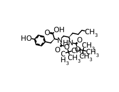 CCCC[C@H](CN(C(=O)OC(C)(C)C)[C@@H](Cc1ccc(O)cc1)C(=O)O)NC(=O)OC(C)(C)C